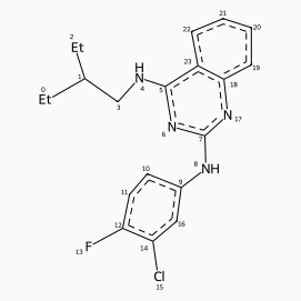 CCC(CC)CNc1nc(Nc2ccc(F)c(Cl)c2)nc2ccccc12